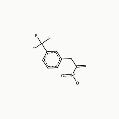 C=C(Cc1cccc(C(F)(F)F)c1)[N+](=O)[O-]